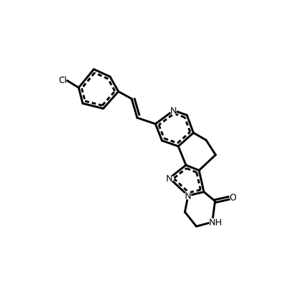 O=C1NCCn2nc3c(c21)CCc1cnc(C=Cc2ccc(Cl)cc2)cc1-3